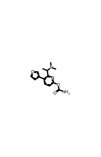 CC(c1nc(OC(N)=O)ccc1-c1ccoc1)N(C)C